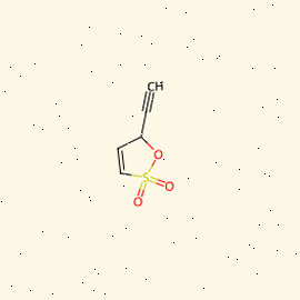 C#CC1C=CS(=O)(=O)O1